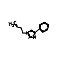 C=CCCn1[c]nc(-c2ccccc2)c1